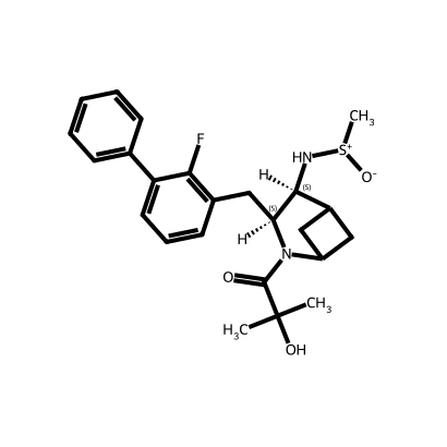 C[S+]([O-])N[C@H]1C2CC(C2)N(C(=O)C(C)(C)O)[C@H]1Cc1cccc(-c2ccccc2)c1F